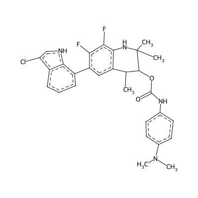 CC1c2cc(-c3cccc4c(Cl)c[nH]c34)c(F)c(F)c2NC(C)(C)C1OC(=O)Nc1ccc(N(C)C)cc1